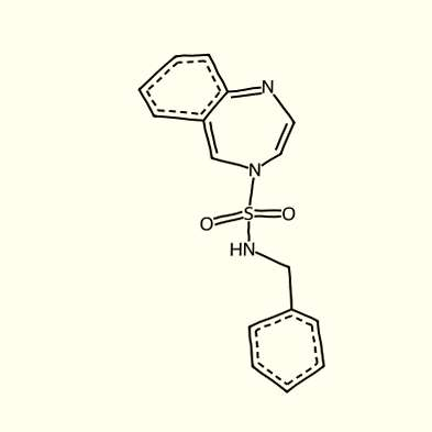 O=S(=O)(NCc1ccccc1)N1C=CN=c2ccccc2=C1